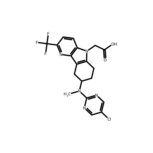 CN(c1ncc(Cl)cn1)C1CCc2c(c3nc(C(F)(F)F)ccc3n2CC(=O)O)C1